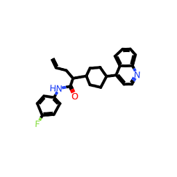 C=CCC(C(=O)Nc1ccc(F)cc1)C1CCC(c2ccnc3ccccc23)CC1